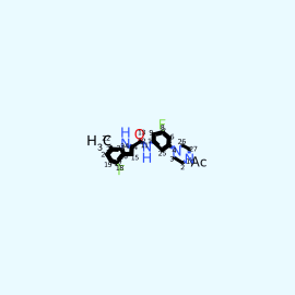 CC(=O)N1CCN(c2cc(F)cc(NC(=O)c3cc4c(F)ccc(C)c4[nH]3)c2)CC1